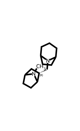 CN1C2CCC1[C@@H](CN1C3CCCC1CC3)C2